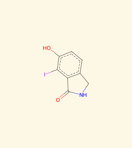 O=C1NCc2ccc(O)c(I)c21